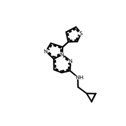 c1cc(-c2cnc3ccc(NCC4CC4)nn23)cs1